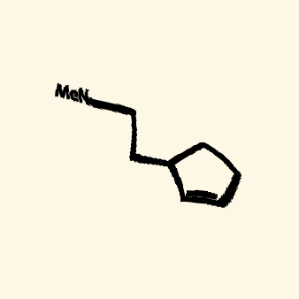 CNCCC1C=CCC1